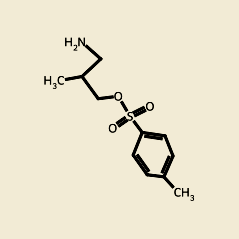 Cc1ccc(S(=O)(=O)OCC(C)CN)cc1